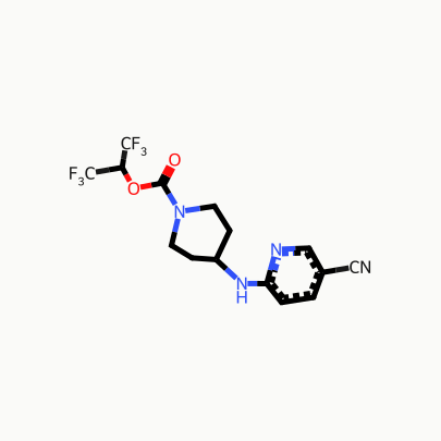 N#Cc1ccc(NC2CCN(C(=O)OC(C(F)(F)F)C(F)(F)F)CC2)nc1